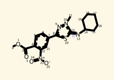 COC(=O)c1ccc(-c2nn(C)/c(=N\C3CCCCC3)s2)cc1[N+](=O)[O-]